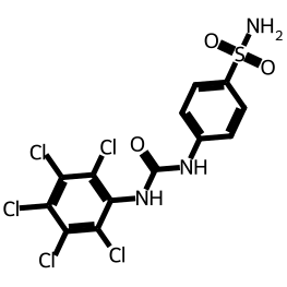 NS(=O)(=O)c1ccc(NC(=O)Nc2c(Cl)c(Cl)c(Cl)c(Cl)c2Cl)cc1